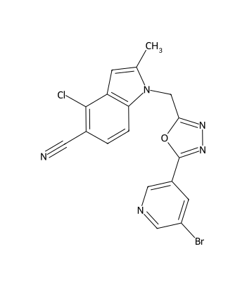 Cc1cc2c(Cl)c(C#N)ccc2n1Cc1nnc(-c2cncc(Br)c2)o1